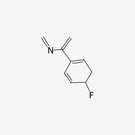 C=NC(=C)C1=CCC(F)C=C1